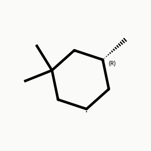 C[C@@H]1C[CH]CC(C)(C)C1